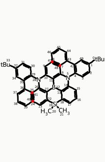 CC(C)(C)c1ccc(N2c3cccc4c3B3c5c2cccc5[Si](C)(C)c2cccc(c23)N4c2ccc(C(C)(C)C)cc2-c2ccccc2)c(-c2ccccc2)c1